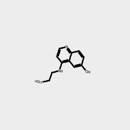 CCCCCCCCCCNc1ccnc2ccc(O)cc12